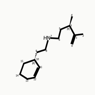 C=C(C)[C@H](C)CCNCC[C@@H]1C=CCCC1